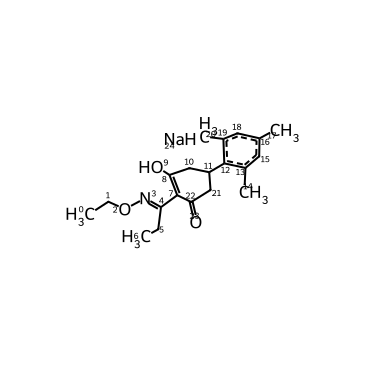 CCO/N=C(\CC)C1=C(O)CC(c2c(C)cc(C)cc2C)CC1=O.[NaH]